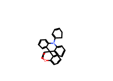 C1=CCCC(N2c3ccccc3C3(C4=CCCC=C4Oc4ccccc43)c3ccccc32)=C1